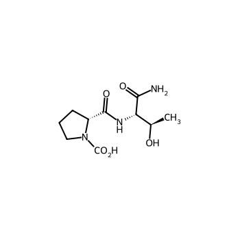 C[C@@H](O)[C@H](NC(=O)[C@H]1CCCN1C(=O)O)C(N)=O